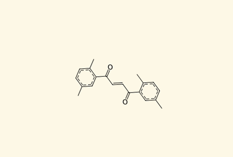 Cc1ccc(C)c(C(=O)C=CC(=O)c2cc(C)ccc2C)c1